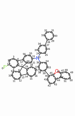 Fc1ccc2c(c1)C1(c3ccccc3-c3ccccc31)c1cc(N(c3ccc(-c4ccccc4)cc3)c3ccc(-c4cccc5c4oc4ccccc45)cc3)ccc1-2